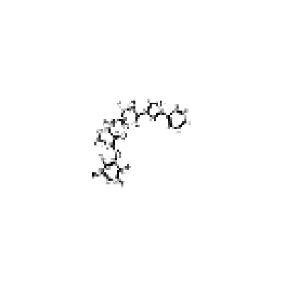 C[C@H](NC(=O)c1coc(-c2ccccc2)n1)C(=O)N[C@@H](CC(=O)O)C(=O)COc1c(F)c(F)cc(F)c1F